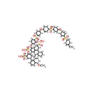 COC1CC=C(/C(=C(\c2ccccc2)c2cc(S(=O)(=O)O)c(Oc3ccc(S(=O)(=O)c4ccc(Oc5ccc(S(=O)(=O)c6ccc(Oc7ccc(S(=O)(=O)c8ccc(C)cc8)cc7)cc6)cc5)cc4)cc3)c3cc(S(=O)(=O)O)ccc23)c2ccc(S(=O)(=O)O)cc2)c2ccccc21